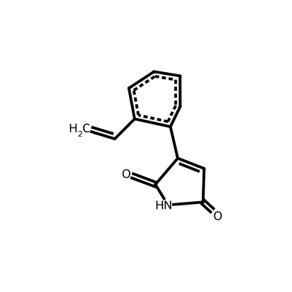 C=Cc1ccccc1C1=CC(=O)NC1=O